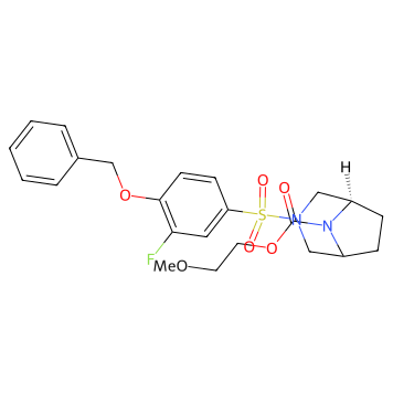 COCCOC(=O)N1C2CC[C@@H]1CN(S(=O)(=O)c1ccc(OCc3ccccc3)c(F)c1)C2